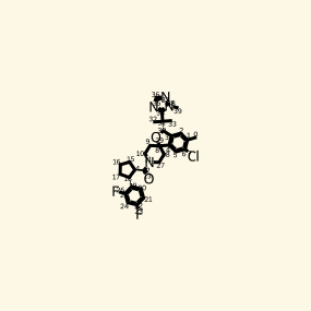 Cc1cc2c(cc1Cl)C1(CCN(C(=O)[C@@H]3CCC[C@H]3c3ccc(F)cc3F)CC1)O[C@@H]2C(C)(C)c1ncnn1C